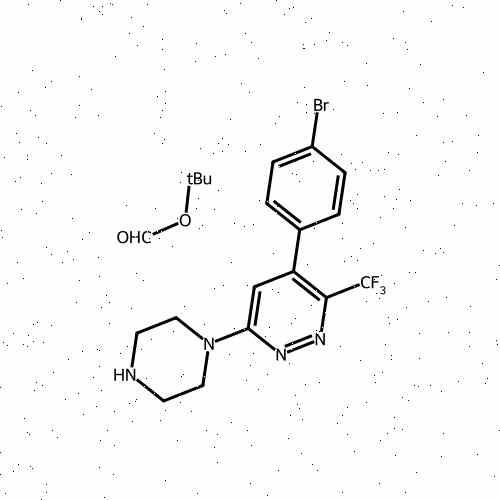 CC(C)(C)OC=O.FC(F)(F)c1nnc(N2CCNCC2)cc1-c1ccc(Br)cc1